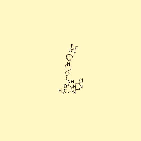 CCc1nc2cnc(Cl)cn2c1C(=O)NCC1CC2(CCN(c3ccc(OC(F)(F)F)cc3)CC2)C1